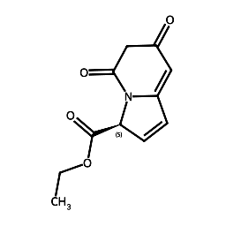 CCOC(=O)[C@@H]1C=CC2=CC(=O)CC(=O)N21